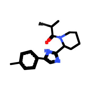 CC(=O)C(C)C(=O)N1CCCCC1c1ncc(-c2ccc(C)cc2)[nH]1